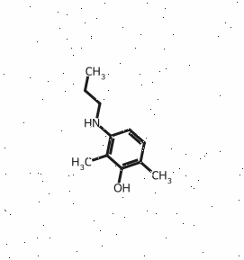 CCCNc1ccc(C)c(O)c1C